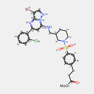 COC(=O)CCc1ccc(S(=O)(=O)N2CCCC(CNc3cc(-c4ccccc4Cl)nc4c(Br)cnn34)C2)cc1